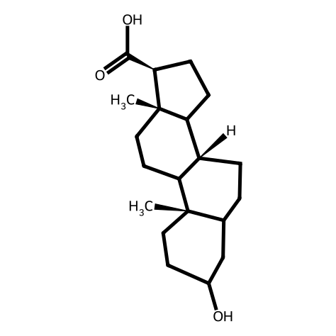 C[C@]12CCC(O)CC1CC[C@@H]1C2CC[C@@]2(C)C1CC[C@@H]2C(=O)O